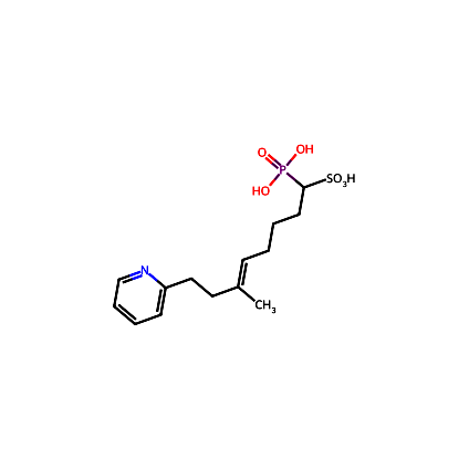 CC(=CCCCC(P(=O)(O)O)S(=O)(=O)O)CCc1ccccn1